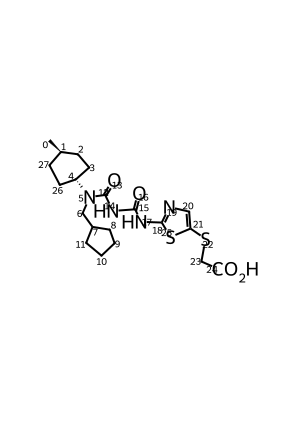 C[C@H]1CC[C@H](N(CC2CCCC2)C(=O)NC(=O)Nc2ncc(SCC(=O)O)s2)CC1